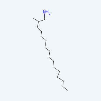 CCCCCCCCCCCCCCC(C)CN